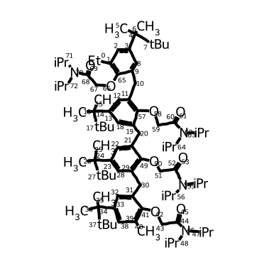 CCc1cc(C(C)(C)C(C)(C)C)cc(Cc2cc(C(C)(C)C(C)(C)C)cc(Cc3cc(C(C)(C)C(C)(C)C)cc(Cc4cc(C(C)(C)C(C)(C)C)cc(C)c4OCC(=O)N(C(C)C)C(C)C)c3OCC(=O)N(C(C)C)C(C)C)c2OCC(=O)N(C(C)C)C(C)C)c1OCC(=O)N(C(C)C)C(C)C